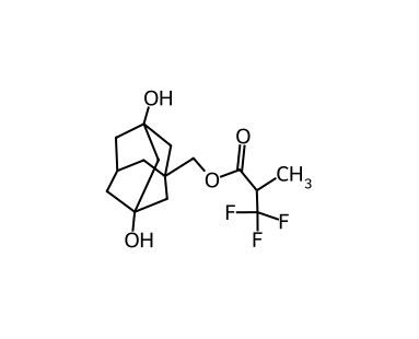 CC(C(=O)OCC12CC3CC(O)(CC(O)(C3)C1)C2)C(F)(F)F